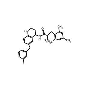 Cc1cc(C)c(CC(N)C(=O)NC2CCNc3ccc(Cc4cccc(F)c4)cc32)c(C)c1